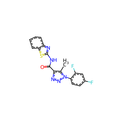 Cc1c(C(=O)Nc2nc3ccccc3s2)nnn1-c1ccc(F)cc1F